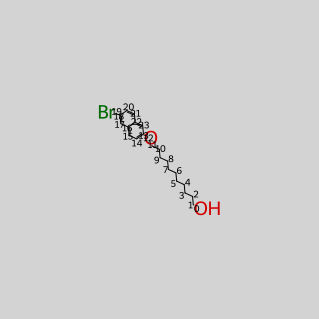 OCCCCCCCCCCCOc1ccc2cc(Br)ccc2c1